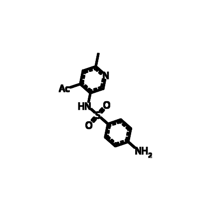 CC(=O)c1cc(C)ncc1NS(=O)(=O)c1ccc(N)cc1